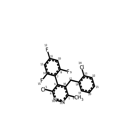 Cc1nnc(Cl)c(-c2c(F)cc(F)cc2F)c1Cc1ccccc1Cl